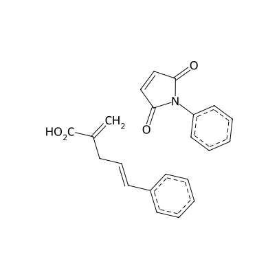 C=C(CC=Cc1ccccc1)C(=O)O.O=C1C=CC(=O)N1c1ccccc1